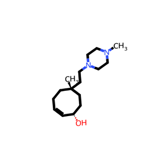 CN1CCN(CC[C@@]2(C)CC/C=C\[C@@H](O)CC2)CC1